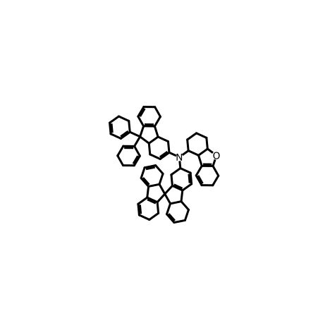 C1=CCCC(C2(C3=CCCC=C3)C3=C(CCC=C3)C3CC(N(C4C=CC5=C(C4)C4(C6=C(C=CCC6)C6=CC=CCC64)C4C=CCCC54)C4CCCC5OC6=C(C=CCC6)C54)=CCC32)=C1